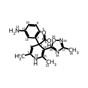 CC1=CC(C(=O)O)(c2cccc(N)c2)C(c2nc(C)no2)=C(C)N1